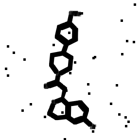 COc1ccc(C2CCN(C(=O)C[C@@H]3OCCc4cc(Br)ccc43)CC2)cc1